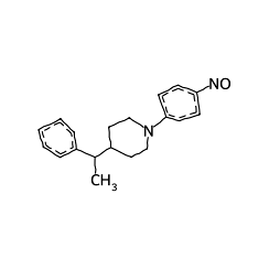 CC(c1ccccc1)C1CCN(c2ccc(N=O)cc2)CC1